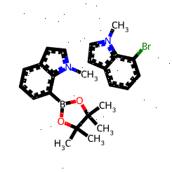 Cn1ccc2cccc(B3OC(C)(C)C(C)(C)O3)c21.Cn1ccc2cccc(Br)c21